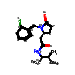 CO[C@H](C)[C@H](NC(=O)C[C@@H]1CCC(=O)N1Cc1ccccc1Cl)C(=O)O